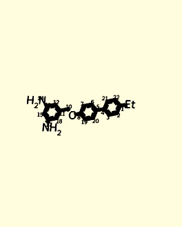 CCc1ccc(-c2ccc(OCc3cc(N)cc(N)c3)cc2)cc1